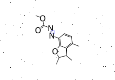 COC(=O)/N=N/c1ccc(C)c2c1OC(C)C2C